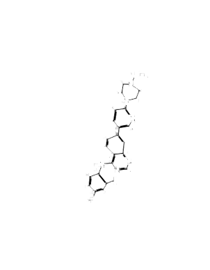 CN1CCN(c2ccc(-c3ccc4c(Nc5ccc(F)cc5F)ncnc4c3)cn2)CC1